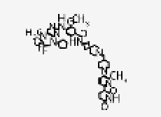 COc1cc(C(=O)NC2CC3(CCN(CC4CCN(c5ccc(C6CCC(=O)NC6=O)nc5C)CC4)CC3)C2)ccc1Nc1ncc2c(n1)N(C1CCCC1)CC(F)(F)C(=O)N2C